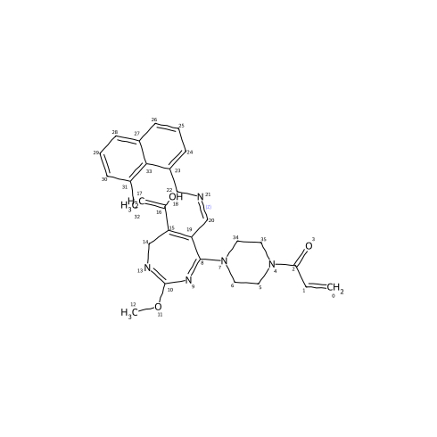 C=CC(=O)N1CCN(C2=NC(OC)=NCC(C(=C)O)=C2/C=N\Cc2cccc3cccc(C)c23)CC1